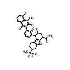 Cc1c(C2c3c([nH]c4c3CC[C@H](C(C)(C)O)C4)C(C(N)=O)CC2F)cccc1-n1c(=O)c2cccc(F)c2n(C)c1=O